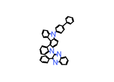 c1ccc(-c2ccc(-n3c4ccccc4c4c5c6ccccc6n(-c6nc7ccccc7nc6-c6ccccc6)c5ccc43)cc2)cc1